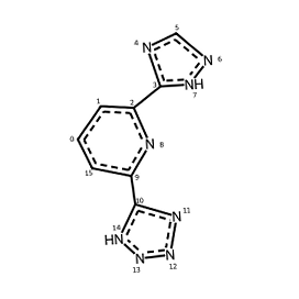 c1cc(-c2ncn[nH]2)nc(-c2nnn[nH]2)c1